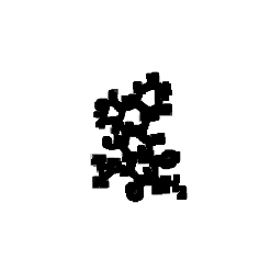 Cc1c(-c2cscc2-c2ccncc2)c(F)cn2c(=O)n(N)c(=O)c(C3CC3)c12